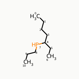 CCCCC(CC)PCCC